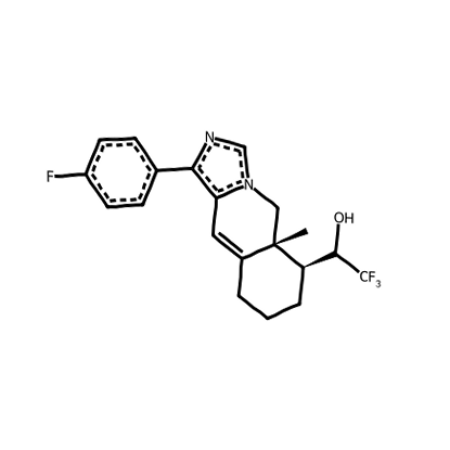 C[C@]12Cn3cnc(-c4ccc(F)cc4)c3C=C1CCC[C@@H]2C(O)C(F)(F)F